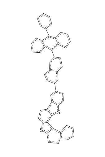 c1ccc(-c2c3ccccc3c(-c3ccc4cc(-c5ccc6sc7c(ccc8sc9ccc%10ccccc%10c9c87)c6c5)ccc4c3)c3ccccc23)cc1